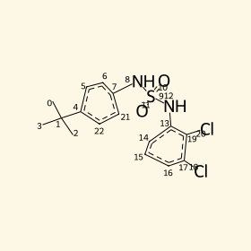 CC(C)(C)c1ccc(NS(=O)(=O)Nc2cccc(Cl)c2Cl)cc1